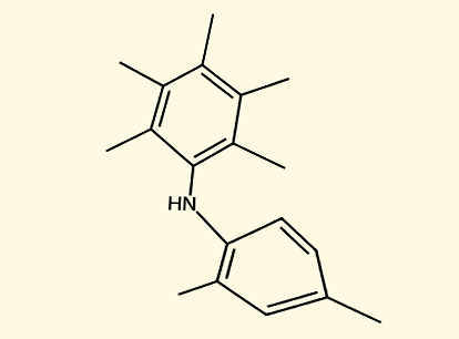 Cc1ccc(Nc2c(C)c(C)c(C)c(C)c2C)c(C)c1